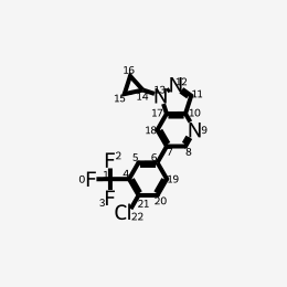 FC(F)(F)c1cc(-c2cnc3cnn(C4[CH]C4)c3c2)ccc1Cl